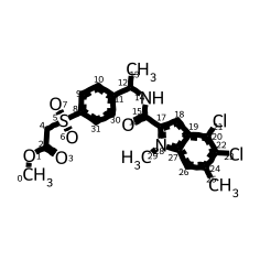 COC(=O)CS(=O)(=O)c1ccc(C(C)NC(=O)c2cc3c(Cl)c(Cl)c(C)cc3n2C)cc1